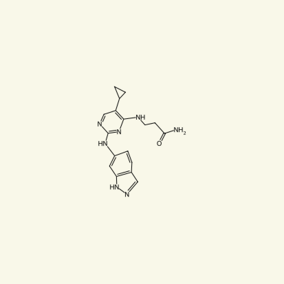 NC(=O)CCNc1nc(Nc2ccc3cn[nH]c3c2)ncc1C1CC1